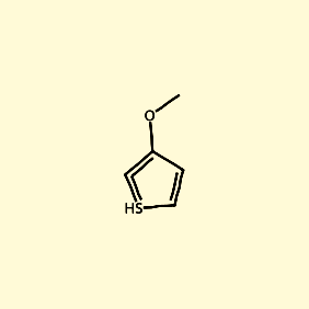 COC1=C=[SH]C=C1